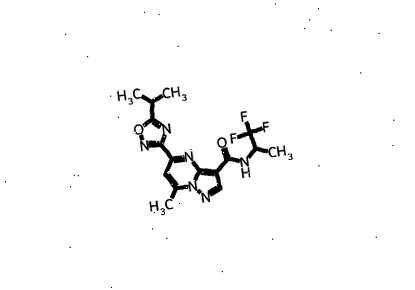 Cc1cc(-c2noc(C(C)C)n2)nc2c(C(=O)NC(C)C(F)(F)F)cnn12